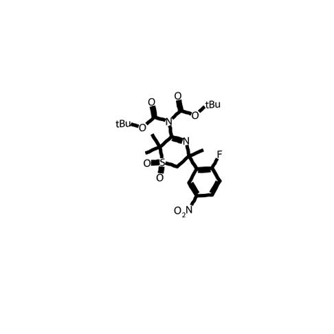 CC(C)(C)OC(=O)N(C(=O)OC(C)(C)C)C1=NC(C)(c2cc([N+](=O)[O-])ccc2F)CS(=O)(=O)C1(C)C